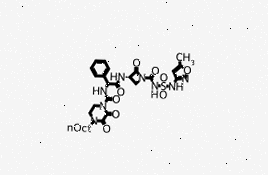 CCCCCCCCN1CCN(C(=O)NC(C(=O)N[C@H]2CN(C(=O)NS(=O)(=O)Nc3cc(C)on3)C2=O)c2ccccc2)C(=O)C1=O